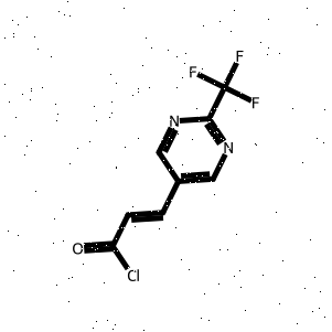 O=C(Cl)/C=C/c1cnc(C(F)(F)F)nc1